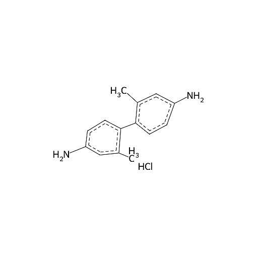 Cc1cc(N)ccc1-c1ccc(N)cc1C.Cl